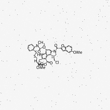 COC(=O)CCSSc1ccccc1N(C)C(=O)Oc1cc2c(c3c(C(=O)OC)c(C)[nH]c13)[C@H](CCl)CN2C(=O)c1cc2cc(OC)ccc2o1